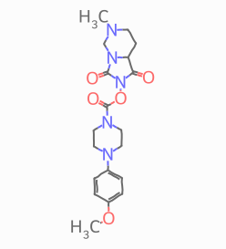 COc1ccc(N2CCN(C(=O)ON3C(=O)C4CCN(C)CN4C3=O)CC2)cc1